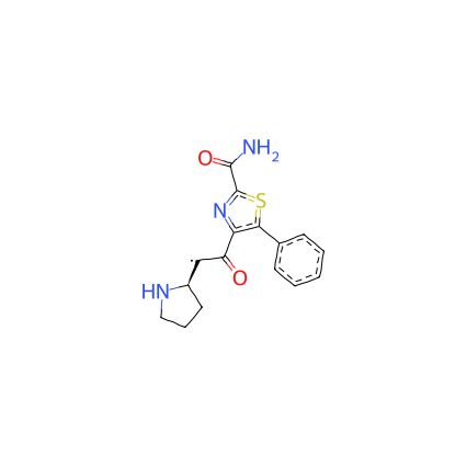 NC(=O)c1nc(C(=O)[CH][C@H]2CCCN2)c(-c2ccccc2)s1